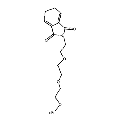 CCCOCCOCCOCCN1C(=O)C2=CCCC=C2C1=O